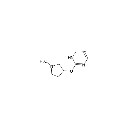 CN1CCC(OC2=NC=[C]CN2)C1